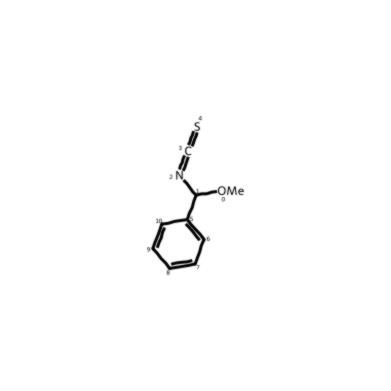 COC(N=C=S)c1ccccc1